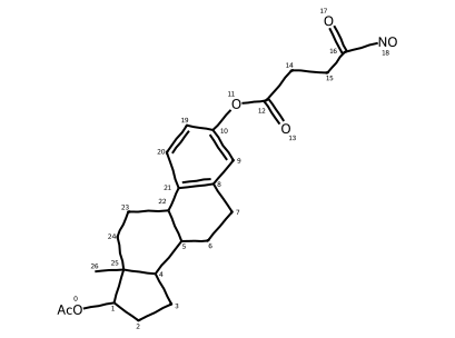 CC(=O)OC1CCC2C3CCc4cc(OC(=O)CCC(=O)N=O)ccc4C3CCC12C